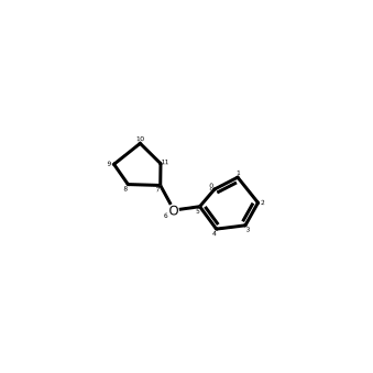 [c]1ccccc1OC1CCCC1